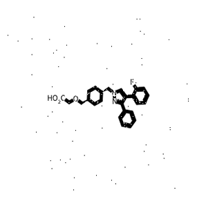 O=C(O)COC[C@H]1CC[C@@H](Cn2cc(-c3ccccc3F)c(-c3ccccc3)n2)CC1